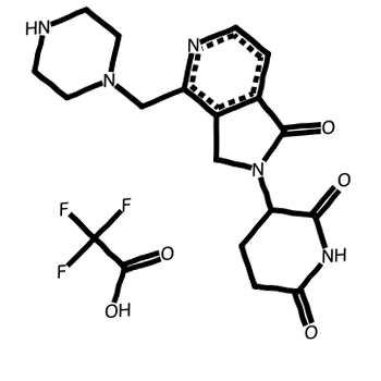 O=C(O)C(F)(F)F.O=C1CCC(N2Cc3c(ccnc3CN3CCNCC3)C2=O)C(=O)N1